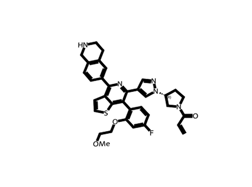 C=CC(=O)N1CC[C@@H](n2cc(-c3nc(-c4ccc5c(c4)CCNC5)c4ccsc4c3-c3ccc(F)cc3OCCOC)cn2)C1